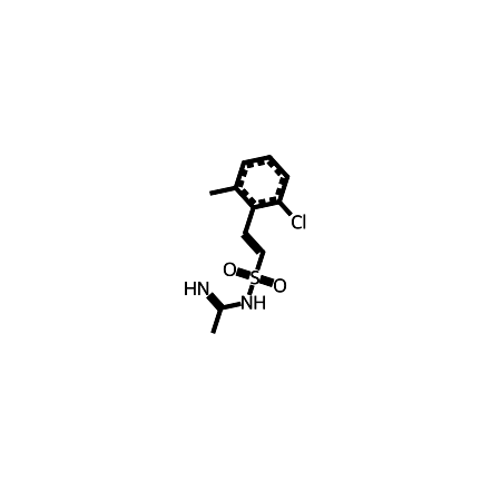 CC(=N)NS(=O)(=O)C=Cc1c(C)cccc1Cl